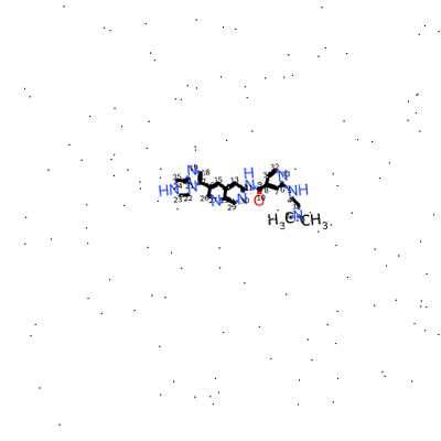 CN(C)CCNc1cc(C(=O)Nc2cc3cc(-c4cnc5n4CCNC5)cnc3cn2)ccn1